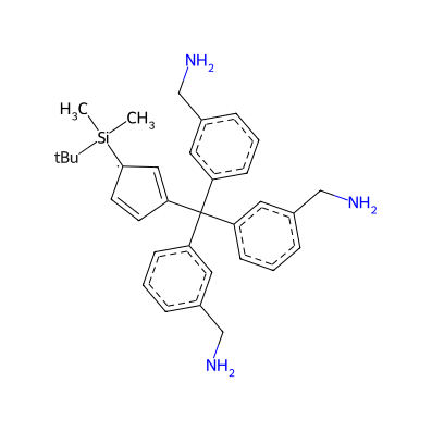 CC(C)(C)[Si](C)(C)[C]1C=CC(C(c2cccc(CN)c2)(c2cccc(CN)c2)c2cccc(CN)c2)=C1